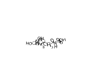 C[C@]12CC[C@H]3[C@@H]([C@@H](O)CC4C[C@H](O)CC[C@@]43C)[C@@H]1CC[C@@H]2CCCC(=O)NCCS(=O)(=O)O